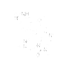 COc1cc2ncc3c(c2cc1-c1ccc2nc(C)[nH]c2c1)n(-c1cn(C)nc1C)c(=O)n3C